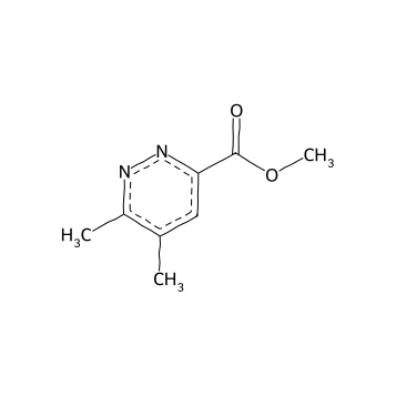 COC(=O)c1cc(C)c(C)nn1